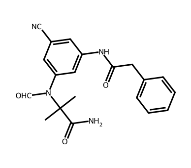 CC(C)(C(N)=O)N(C=O)c1cc(C#N)cc(NC(=O)Cc2ccccc2)c1